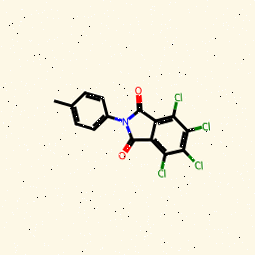 Cc1ccc(N2C(=O)c3c(Cl)c(Cl)c(Cl)c(Cl)c3C2=O)cc1